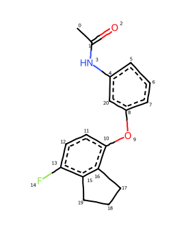 CC(=O)Nc1cccc(Oc2ccc(F)c3c2CCC3)c1